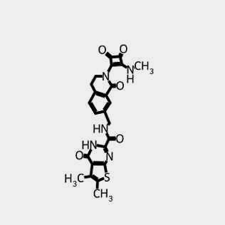 CNc1c(N2CCc3ccc(CNC(=O)c4nc5sc(C)c(C)c5c(=O)[nH]4)cc3C2=O)c(=O)c1=O